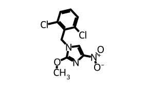 COc1nc([N+](=O)[O-])cn1Cc1c(Cl)cccc1Cl